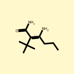 CCC/C(N)=C(/C(N)=O)C(C)(C)C